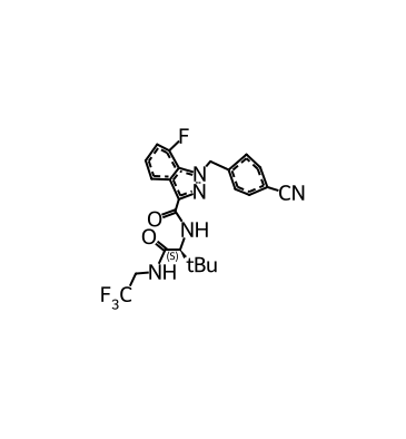 CC(C)(C)[C@H](NC(=O)c1nn(Cc2ccc(C#N)cc2)c2c(F)cccc12)C(=O)NCC(F)(F)F